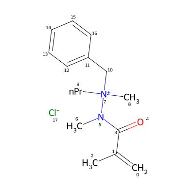 C=C(C)C(=O)N(C)[N+](C)(CCC)Cc1ccccc1.[Cl-]